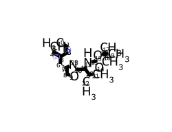 C/C=C\C(=C/C)C[C@H]1COC(C(NC(=O)OC(C)(C)C)C(C)C)=N1